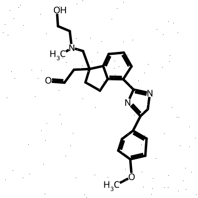 COc1ccc(C2=NC(c3cccc4c3CCC4(CC=O)CN(C)CCO)=NC2)cc1